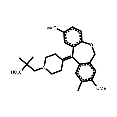 COc1ccc2c(c1)C(=C1CCN(CC(C)(C)C(=O)O)CC1)c1cc(C)c(OC)cc1CO2